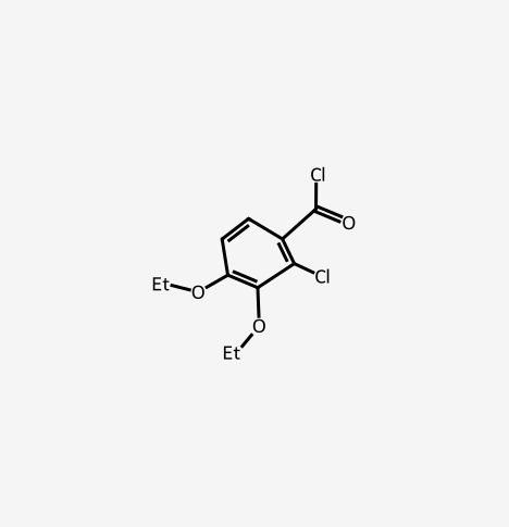 CCOc1ccc(C(=O)Cl)c(Cl)c1OCC